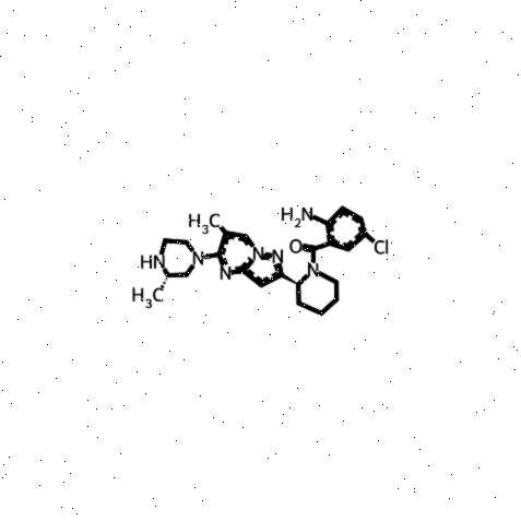 Cc1cn2nc([C@@H]3CCCCN3C(=O)c3cc(Cl)ccc3N)cc2nc1N1CCN[C@@H](C)C1